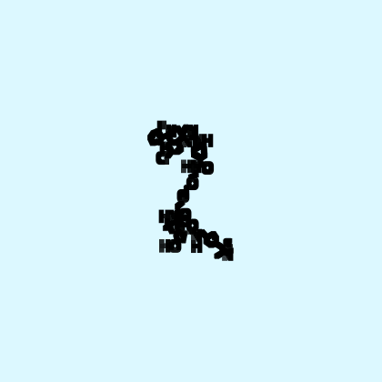 Cc1ncsc1-c1ccc(CNC(=O)[C@@H]2C[C@@H](O)CN2C(=O)[C@@H](NC(=O)CCOCCOCCNC(=O)c2ccc(Nc3ncc4c(n3)-c3ccc(Cl)cc3C(c3c(F)cccc3F)=NC4)cc2)C(C)(C)C)cc1